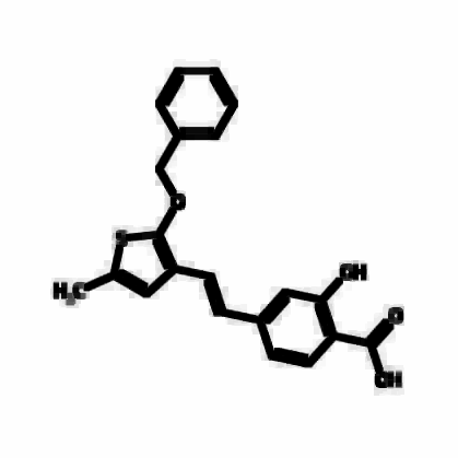 Cc1cc(C=Cc2ccc(C(=O)O)c(O)c2)c(OCc2ccccc2)s1